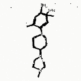 CNC1(C)C=C(N2CCC(N3CCN(C)CC3)CC2)C(C)=CC1N